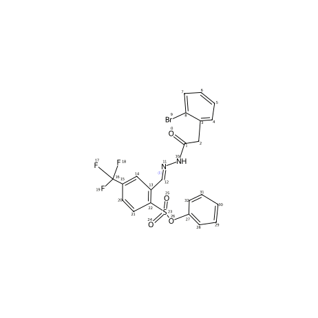 O=C(Cc1ccccc1Br)N/N=C/c1cc(C(F)(F)F)ccc1S(=O)(=O)Oc1ccccc1